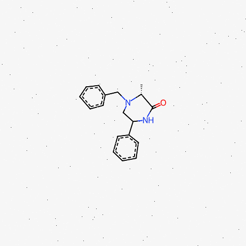 C[C@@H]1C(=O)NC(c2ccccc2)CN1Cc1ccccc1